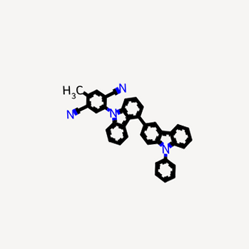 Cc1cc(C#N)c(-n2c3ccccc3c3c(-c4ccc5c(c4)c4ccccc4n5-c4ccccc4)cccc32)cc1C#N